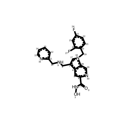 O=C(NO)c1cc2c(CNCc3ccccn3)cn(Cc3ccc(F)cc3F)c2cn1